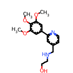 COc1cc(-c2cc(CNCCO)ccn2)cc(OC)c1OC